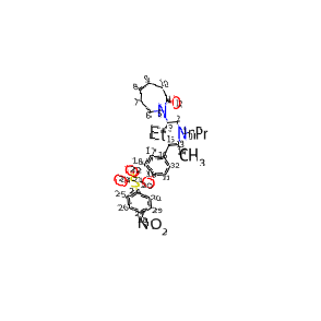 CCCN(CC(CC)N1CCCCCC1=O)C(C)Cc1ccc(OS(=O)(=O)c2ccc([N+](=O)[O-])cc2)cc1